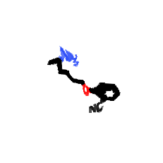 CC(N)CCCCOc1ccccc1C#N